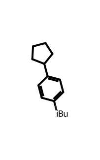 CCC(C)c1ccc(C2CCCC2)cc1